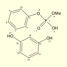 COP(=O)(O)Oc1ccccc1.Oc1cccc(O)c1